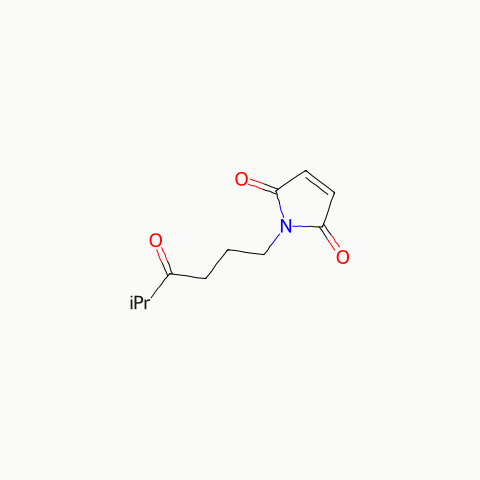 CC(C)C(=O)CCCN1C(=O)C=CC1=O